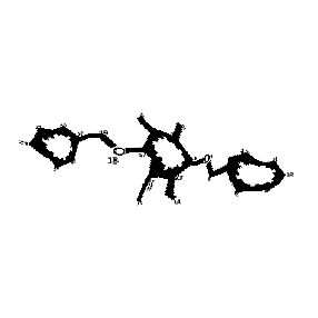 Cc1c(C)c(OCc2ccccc2)c(C)c(C)c1OCc1ccccc1